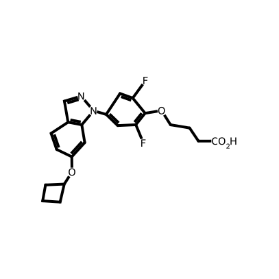 O=C(O)CCCOc1c(F)cc(-n2ncc3ccc(OC4CCC4)cc32)cc1F